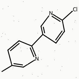 Cc1ccc(-c2ccc(Cl)nc2)nc1